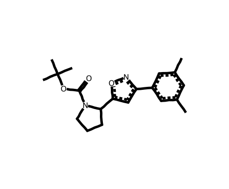 Cc1cc(C)cc(-c2cc(C3CCCN3C(=O)OC(C)(C)C)on2)c1